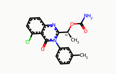 Cc1cccc(-n2c([C@H](C)OC(N)=O)nc3cccc(Cl)c3c2=O)c1